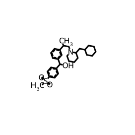 CC(CN1CCCCC1CC1CCCCC1)c1cccc(C(O)c2ccc(S(C)(=O)=O)cc2)c1